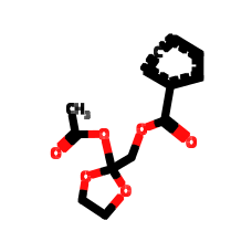 CC(=O)OC1(COC(=O)c2ccccc2)OCCO1